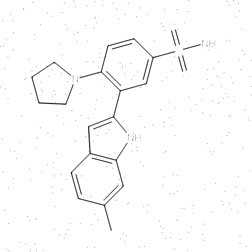 Cc1ccc2cc(-c3cc(S(N)(=O)=O)ccc3N3CCCC3)[nH]c2c1